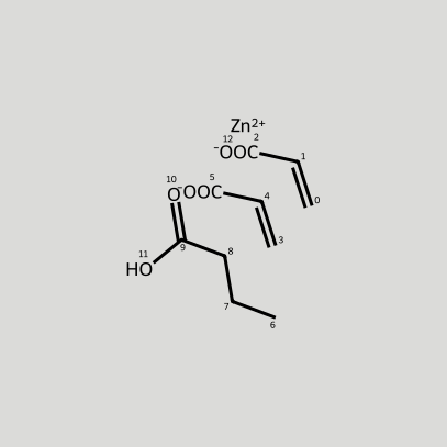 C=CC(=O)[O-].C=CC(=O)[O-].CCCC(=O)O.[Zn+2]